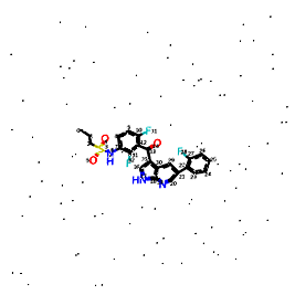 CCCS(=O)(=O)Nc1ccc(F)c(C(=O)c2c[nH]c3ncc(-c4ccccc4F)cc23)c1F